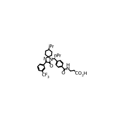 CCC[C@H](c1ccc(C(=O)NCCC(=O)O)cc1)N1C(=O)C(c2cccc(C(F)(F)F)c2)=NC12CCC(C(C)C)CC2